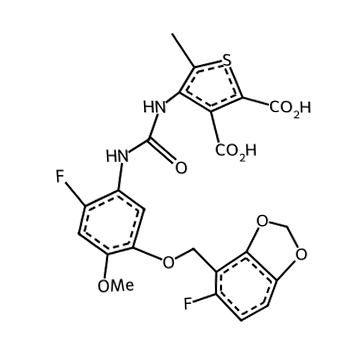 COc1cc(F)c(NC(=O)Nc2c(C)sc(C(=O)O)c2C(=O)O)cc1OCc1c(F)ccc2c1OCO2